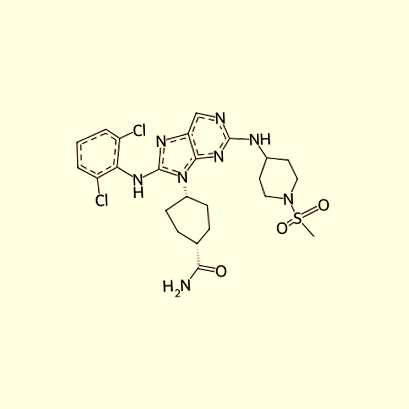 CS(=O)(=O)N1CCC(Nc2ncc3nc(Nc4c(Cl)cccc4Cl)n([C@H]4CC[C@@H](C(N)=O)CC4)c3n2)CC1